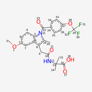 COc1ccc2c(c1)c(CC(=O)NC(C)(C)C(=O)O)c(C)n2C(=O)c1ccc(OC(F)(F)F)cc1